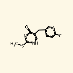 CSc1nc(=O)c(Cc2ccc(Cl)nc2)c[nH]1